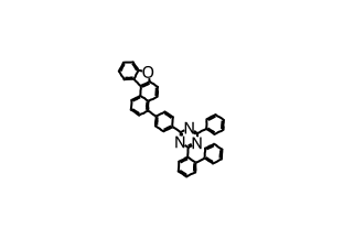 c1ccc(-c2nc(-c3ccc(-c4cccc5c4ccc4oc6ccccc6c45)cc3)nc(-c3ccccc3-c3ccccc3)n2)cc1